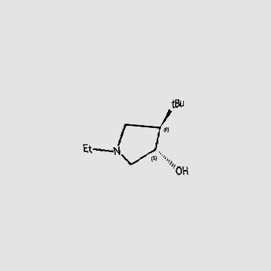 CCN1C[C@@H](O)[C@H](C(C)(C)C)C1